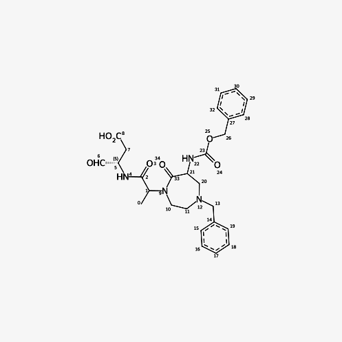 CC(C(=O)N[C@H](C=O)CC(=O)O)N1CCN(Cc2ccccc2)CC(NC(=O)OCc2ccccc2)C1=O